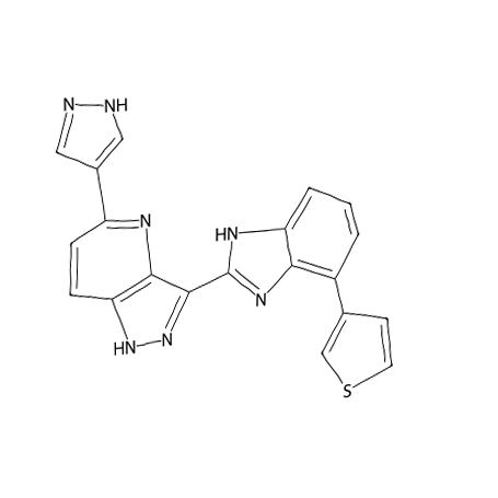 c1cc(-c2ccsc2)c2nc(-c3n[nH]c4ccc(-c5cn[nH]c5)nc34)[nH]c2c1